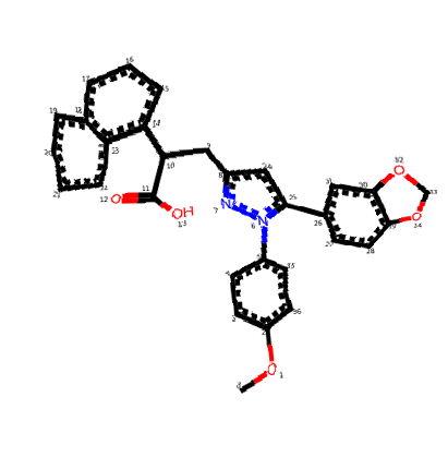 COc1ccc(-n2nc(CC(C(=O)O)c3cccc4ccccc34)cc2-c2ccc3c(c2)OCO3)cc1